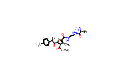 CCC(C(=O)c1sc(C(=O)NCCNC(=O)[C@@H](N)C(C)C)c(C)c1C(=O)OC)c1ccc(C(F)(F)F)cc1